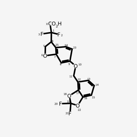 O=C(O)C(F)(F)C1COc2cc(OCc3cccc4c3OC(F)(F)O4)ccc21